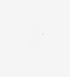 CCOC(=O)c1cn2c(I)c(CCl)nc2s1